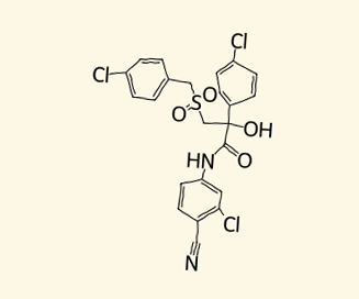 N#Cc1ccc(NC(=O)C(O)(CS(=O)(=O)Cc2ccc(Cl)cc2)c2ccc(Cl)cc2)cc1Cl